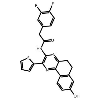 O=C(Cc1ccc(F)c(F)c1)Nc1nc2c(nc1-c1cccs1)-c1ccc(O)cc1CC2